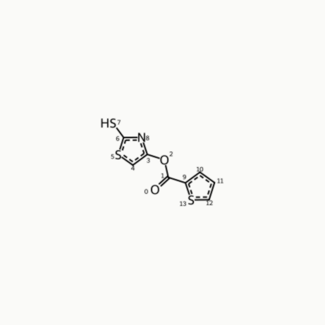 O=C(Oc1csc(S)n1)c1cccs1